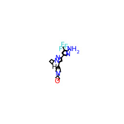 Nc1ncc(-c2cc(C3=C4CN(C5COC5)C[C@@H]43)n(C3CCC3)n2)cc1C(F)(F)F